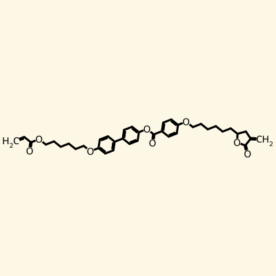 C=CC(=O)OCCCCCCOc1ccc(-c2ccc(OC(=O)c3ccc(OCCCCCCC4CC(=C)C(=O)O4)cc3)cc2)cc1